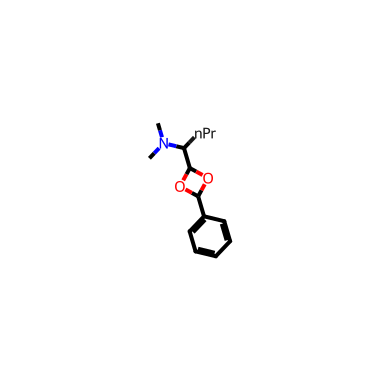 CCCC(C1OC(c2ccccc2)O1)N(C)C